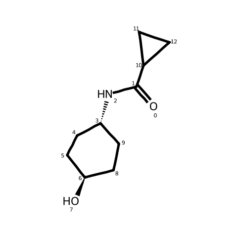 O=C(N[C@H]1CC[C@H](O)CC1)C1CC1